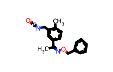 CC(=NOCc1ccccc1)c1ccc(C)c(CN=C=O)c1